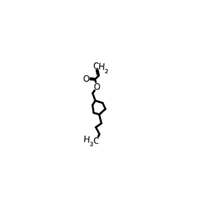 C=CC(=O)OCC1CCC(CCCC)CC1